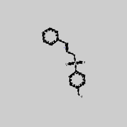 Cc1ccc(S(=O)(=O)C/C=C/c2ccccc2)cc1